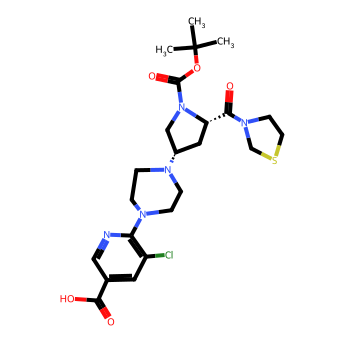 CC(C)(C)OC(=O)N1C[C@@H](N2CCN(c3ncc(C(=O)O)cc3Cl)CC2)C[C@H]1C(=O)N1CCSC1